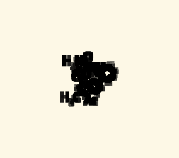 CC(=O)N1c2ccc(C3=C(NNCC(N)=O)CCCC=C3)cc2N(C(=O)OC(C)C)C[C@@H]1C